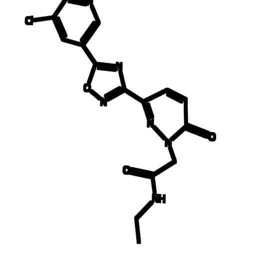 CCNC(=O)Cn1nc(-c2noc(-c3cncc(Cl)c3)n2)ccc1=O